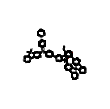 C=Cc1ccc(-c2ccc3c(c2)C2(c4ccccc4-3)c3ccccc3-c3ccc(-n4c5ccccc5c5cc(-c6ccc(N(c7ccc(-c8ccccc8)cc7)c7ccc8c(c7)C(C)(C)c7ccccc7-8)cc6)ccc54)cc32)cc1